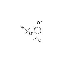 C#CC(C)(C)Oc1cc(OC)ccc1C(C)=O